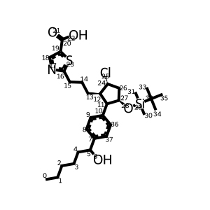 CCCCCC(O)c1ccc(C2[C@@H](CCCc3ncc(C(=O)O)s3)[C@H](Cl)C[C@H]2O[Si](C)(C)C(C)(C)C)cc1